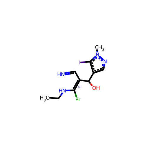 CCN/C(Br)=C(\C=N)C(O)c1cnn(C)c1I